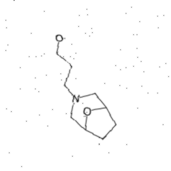 [O]CCCN1CC2CCC(C1)O2